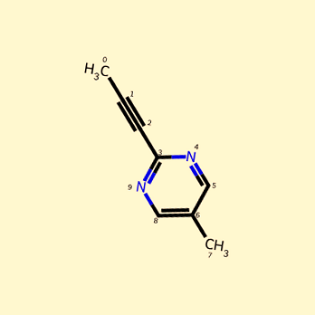 CC#Cc1ncc(C)cn1